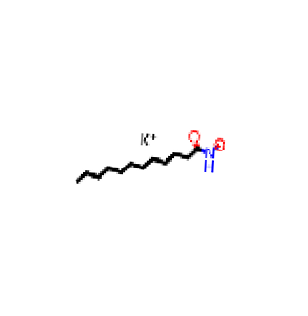 CCCCCCCCCCCC(=O)N[O-].[K+]